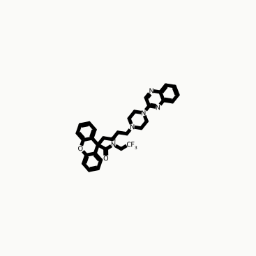 O=C(NCC(F)(F)F)C1(CCCCN2CCN(c3cnc4ccccc4n3)CC2)c2ccccc2Oc2ccccc21